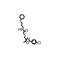 Cc1oc(-c2ccc(Cl)cc2)nc1CSCC(=O)NCCCSC1CCCCC1